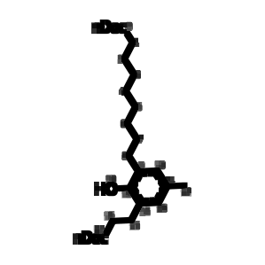 CCCCCCCCCCCCCCCCCCc1cc(C)cc(CCCCCCCCCCCC)c1O